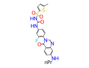 CCCNc1ccc2c(=O)n(-c3ccc(NC(=O)NS(=O)(=O)c4ccc(C)s4)cc3F)cnc2c1